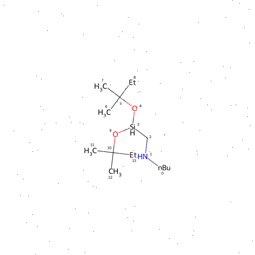 CCCCNC[SiH](OC(C)(C)CC)OC(C)(C)CC